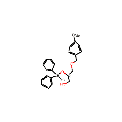 COc1ccc(COC[C@@H](CO)O[Si](c2ccccc2)(c2ccccc2)C(C)(C)C)cc1